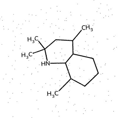 CC1CC(C)(C)NC2C(C)CCCC12